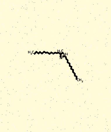 CCCCCCCCCCCCCCCC(=O)NC(C)C(C#N)CCCCCCCCCCCCCCC